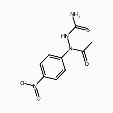 CC(=O)N(NC(N)=S)c1ccc([N+](=O)[O-])cc1